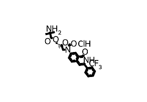 CC(C)(N)C(=O)OC[C@H]1CN(c2ccc3cc(-c4ccccc4C(F)(F)F)[nH]c(=O)c3c2)C(=O)O1.Cl